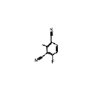 Cc1c(C#N)ccc(F)c1C#N